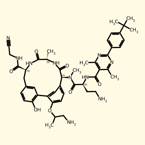 Cc1nc(-c2ccc(C(C)(C)C)cc2)nc(C)c1C(=O)N[C@@H](CCN)C(=O)N(C)[C@@H]1C(=O)N[C@@H](C)C(=O)N[C@H](C(=O)NCC#N)Cc2ccc(O)c(c2)-c2cc1ccc2OC(C)CN